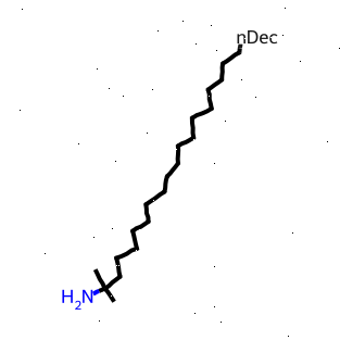 CCCCCCCCCCCCCCCCCCCCCCCCCCCC(C)(C)N